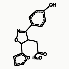 CC(C)COC(=O)CC1C(c2ccc(O)cc2)=NOC1c1ccco1